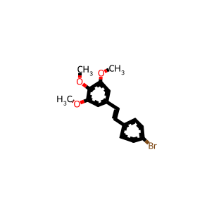 COc1cc(C=Cc2ccc(Br)cc2)cc(OC)c1OC